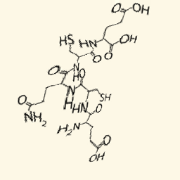 NC(=O)CCC(NC(=O)C(CS)NC(=O)C(N)CCC(=O)O)C(=O)NC(CS)C(=O)NC(CCC(=O)O)C(=O)O